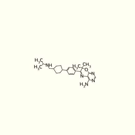 CC(C)NCC1CCC(c2ccc(C3=Nc4c(N)ncnc4OC3(C)C)cc2)CC1